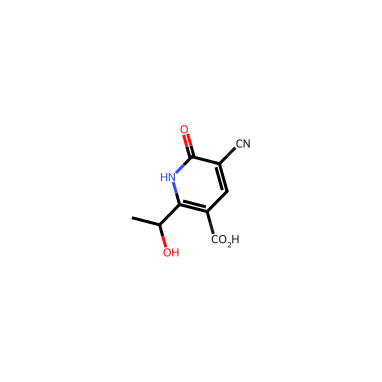 CC(O)c1[nH]c(=O)c(C#N)cc1C(=O)O